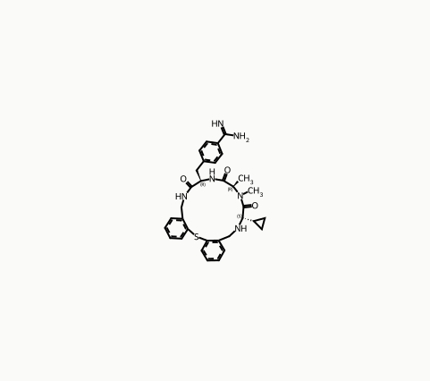 C[C@@H]1C(=O)N[C@H](Cc2ccc(C(=N)N)cc2)C(=O)NCc2ccccc2Sc2ccccc2CN[C@@H](C2CC2)C(=O)N1C